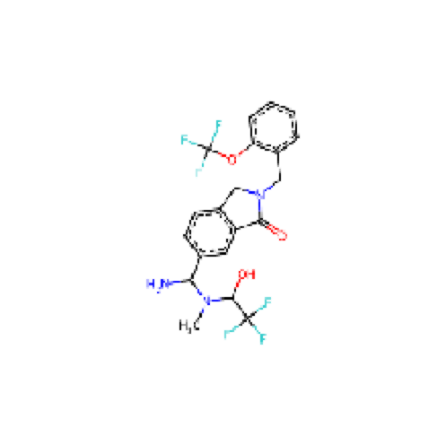 CN(C(N)c1ccc2c(c1)C(=O)N(Cc1ccccc1OC(F)(F)F)C2)C(O)C(F)(F)F